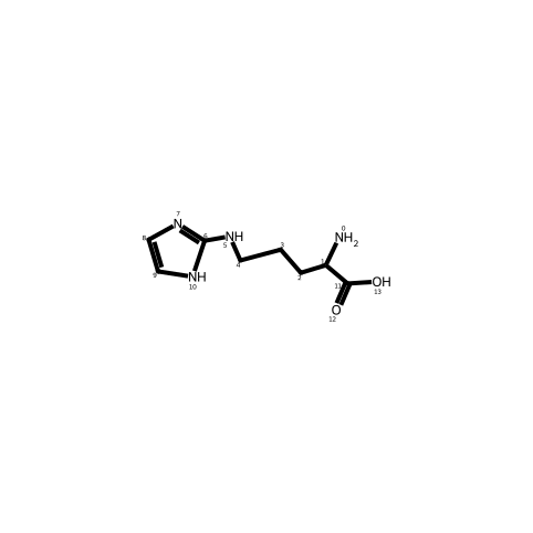 NC(CCCNc1ncc[nH]1)C(=O)O